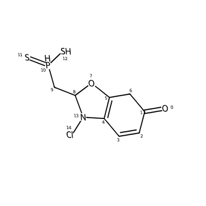 O=C1C=CC2=C(C1)OC(C[PH](=S)S)N2Cl